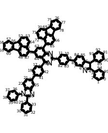 c1ccc(C2=Nc3cc(-c4ccc(-c5nc(-c6ccc(-c7ccc8c(c7)nc(-c7ccccc7)n8-c7ccccc7)cc6)c6cc(-c7ccc8c9c(cccc79)-c7ccccc7-8)cc(-c7ccc8c9c(cccc79)-c7ccccc7-8)c6n5)cc4)ccc3C2c2ccccc2)cc1